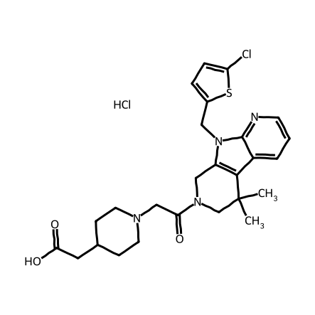 CC1(C)CN(C(=O)CN2CCC(CC(=O)O)CC2)Cc2c1c1cccnc1n2Cc1ccc(Cl)s1.Cl